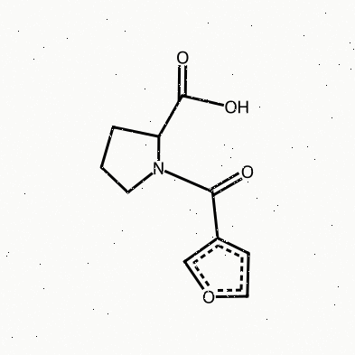 O=C(O)C1CCCN1C(=O)c1ccoc1